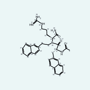 CC(=O)N[C@H](Cc1ccc2ccccc2c1)C(=O)N(CCc1ccc2ccccc2c1)[C@@H](CCCNC(=N)N)C(N)=O